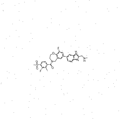 CNCc1nc2ccc(-c3cc(F)c4c(c3)CN(C(=O)c3ccc(S(C)(=O)=O)c(F)c3C)CCO4)cc2[nH]1